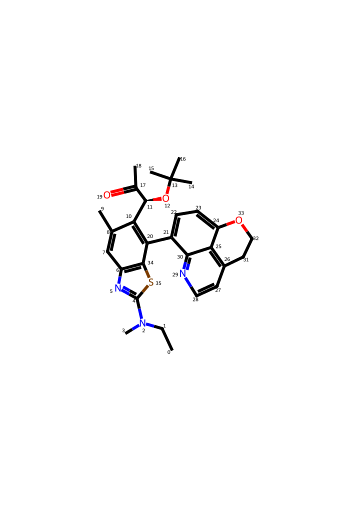 CCN(C)c1nc2cc(C)c([C@H](OC(C)(C)C)C(C)=O)c(-c3ccc4c5c(ccnc35)CCO4)c2s1